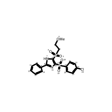 COCCS(=O)(=O)c1[nH]c(-c2ccccc2)nc1S(=O)(=O)c1ccc(Cl)cc1